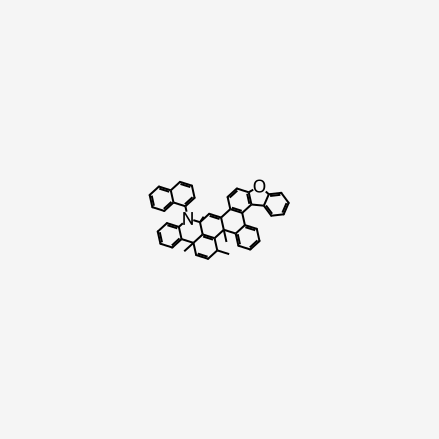 CC1C=CC2(C)C3=C1C1(C)C(=CC3(C)N(c3cccc4ccccc34)c3ccccc32)c2ccc3oc4ccccc4c3c2-c2ccccc21